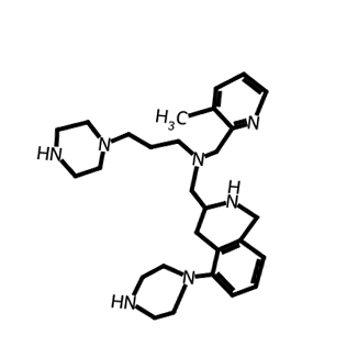 Cc1cccnc1CN(CCCN1CCNCC1)CC1Cc2c(cccc2N2CCNCC2)CN1